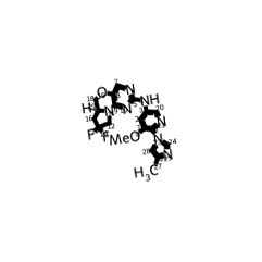 COc1cc(Nc2ncc3c(n2)N2CC(F)(F)C[C@H]2CO3)cnc1-n1cnc(C)c1